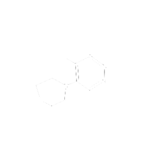 Fc1nnn[c]c1N1CCOCC1